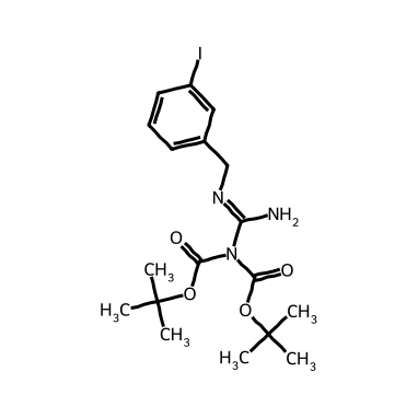 CC(C)(C)OC(=O)N(C(=O)OC(C)(C)C)/C(N)=N/Cc1cccc(I)c1